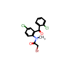 CN(C(=O)CBr)c1ccc(Cl)cc1C(=O)c1ccccc1Cl